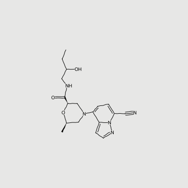 CCC(O)CNC(=O)[C@H]1CN(c2ccc(C#N)n3nccc23)C[C@@H](C)O1